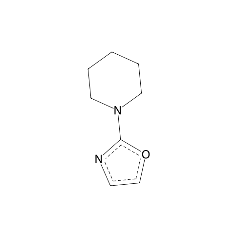 c1coc(N2CCCCC2)n1